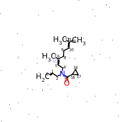 C=CCN(C/C=C(/C)CCC=C(C)C)C(=O)C1CC1